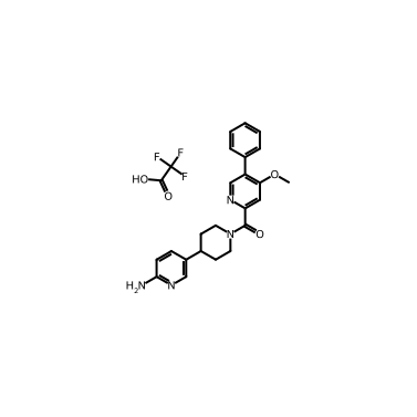 COc1cc(C(=O)N2CCC(c3ccc(N)nc3)CC2)ncc1-c1ccccc1.O=C(O)C(F)(F)F